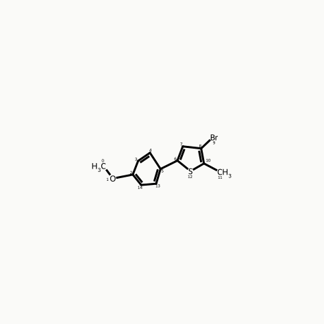 COc1ccc(-c2cc(Br)c(C)s2)cc1